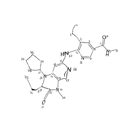 CCc1cc(C(=O)NC)cnc1Nc1cc2c(cn1)N(C)C(=O)[C@@H](CC)N2C1CCCC1